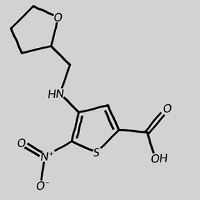 O=C(O)c1cc(NCC2CCCO2)c([N+](=O)[O-])s1